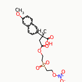 COc1ccc2cc(C(C)(CC(=O)OCCS(=O)(=O)CCO[N+](=O)[O-])C(=O)O)ccc2c1